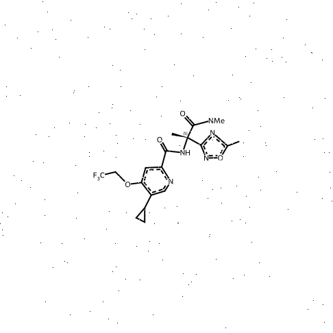 CNC(=O)[C@@](C)(NC(=O)c1cc(OCC(F)(F)F)c(C2CC2)cn1)c1noc(C)n1